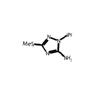 CSc1nc(N)n(C(C)C)n1